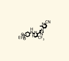 CCS(=O)(=O)N1CCC(Nc2ncc(C(F)(F)F)c(-c3cn(-c4ccc(C#N)nc4C)cn3)n2)CC1